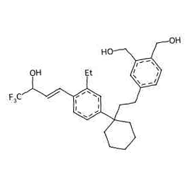 CCc1cc(C2(CCc3ccc(CO)c(CO)c3)CCCCC2)ccc1C=CC(O)C(F)(F)F